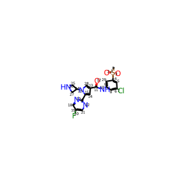 CS(=O)(=O)c1cc(Cl)cc(NC(=O)c2cc(-c3ncc(F)cn3)n(C3CNC3)c2)c1